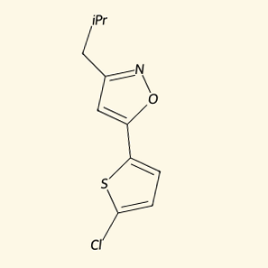 CC(C)Cc1cc(-c2ccc(Cl)s2)on1